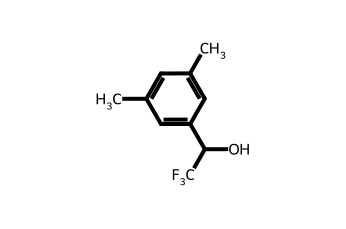 Cc1cc(C)cc(C(O)C(F)(F)F)c1